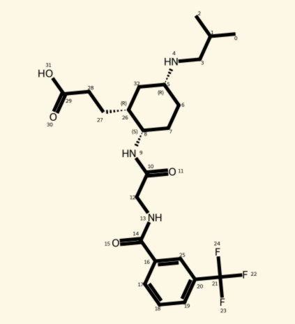 CC(C)CN[C@@H]1CC[C@H](NC(=O)CNC(=O)c2cccc(C(F)(F)F)c2)[C@H](CCC(=O)O)C1